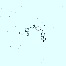 Cc1ccc(/C=C/C(=O)N2CCN(Cc3ccc(C(F)(F)F)cc3)CC2)cc1Cl